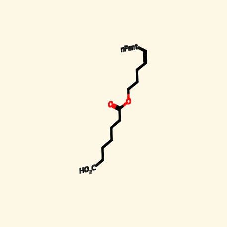 CCCCC/C=C\CCCOC(=O)CCCCCC(=O)O